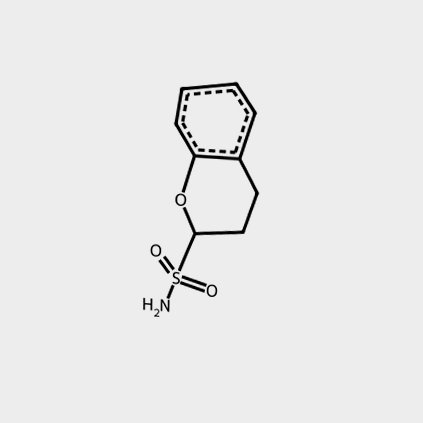 NS(=O)(=O)C1CCc2ccccc2O1